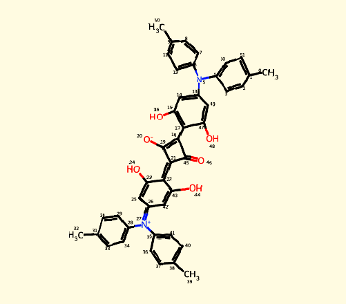 Cc1ccc(N(c2ccc(C)cc2)c2cc(O)c(C3=C([O-])C(=C4C(O)=CC(=[N+](c5ccc(C)cc5)c5ccc(C)cc5)C=C4O)C3=O)c(O)c2)cc1